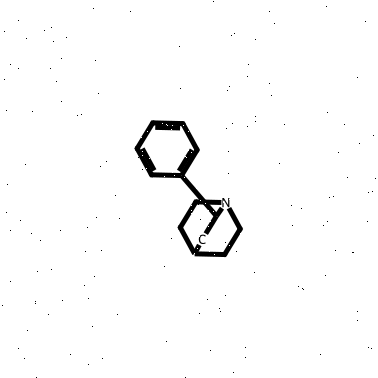 c1ccc(C2CC3CCN2CC3)cc1